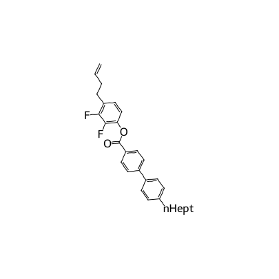 C=CCCc1ccc(OC(=O)c2ccc(-c3ccc(CCCCCCC)cc3)cc2)c(F)c1F